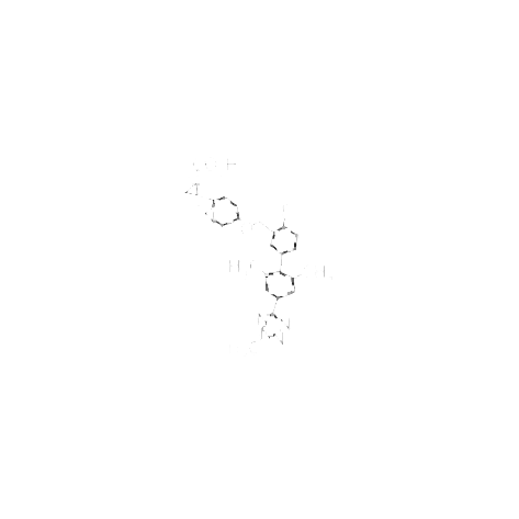 Cc1cc(-c2nnn(C)n2)cc(C)c1-c1ccc(F)c(COc2ccc([C@H]3C[C@@H]3C(=O)O)nc2)c1